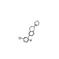 Fc1ccc(Cl)cc1-c1ccc2c(c1)CCC(N1CCCC1)C2